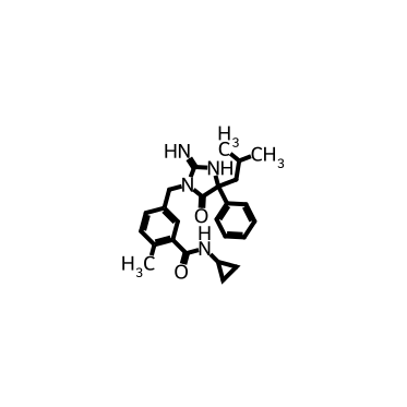 Cc1ccc(CN2C(=N)NC(CC(C)C)(c3ccccc3)C2=O)cc1C(=O)NC1CC1